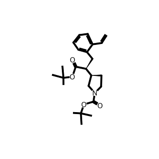 C=Cc1ccccc1C[C@H](C(=O)OC(C)(C)C)[C@H]1CCN(C(=O)OC(C)(C)C)C1